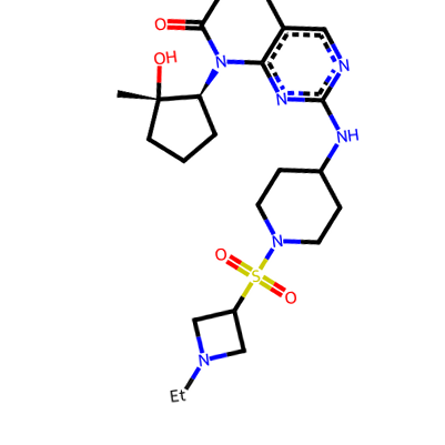 CCN1CC(S(=O)(=O)N2CCC(Nc3ncc4c(n3)N([C@H]3CCC[C@]3(C)O)C(=O)CC4)CC2)C1